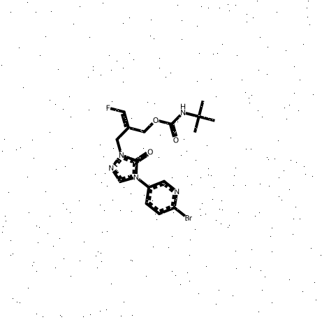 CC(C)(C)NC(=O)OC/C(=C/F)Cn1ncn(-c2ccc(Br)nc2)c1=O